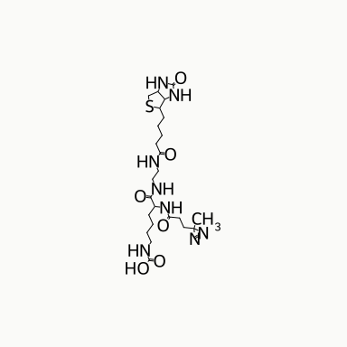 CC1(CCC(=O)NC(CCCCNC(=O)O)C(=O)NCCNC(=O)CCCCC2SCC3NC(=O)NC32)N=N1